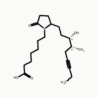 CCC#CC[C@@H](C)[C@@H](O)CCC1CCC(=O)N1CCCCCCC(=O)O